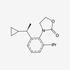 CC(C)c1cccc([C@H](C)C2CC2)c1N1CCOC1=O